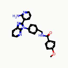 COc1ccc(C(=O)NCc2ccc(-n3c(-c4cccnc4N)nc4cccnc43)cc2)cc1